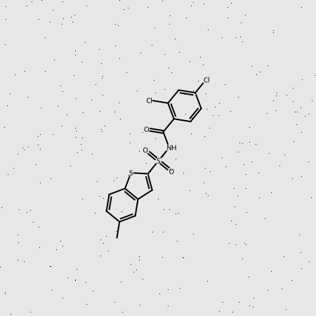 Cc1ccc2sc(S(=O)(=O)NC(=O)c3ccc(Cl)cc3Cl)cc2c1